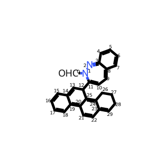 O=CN1N=c2ccccc2=CC=C1C1C=c2ccccc2=c2ccc3c(c21)CCCC=3